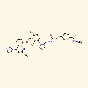 CNC(=O)c1ccc(/C=C/C(=O)NCc2cccn2-c2ccc(Cl)c(COc3cccc4c(-n5ccnc5)cc(C)nc34)c2Cl)cc1